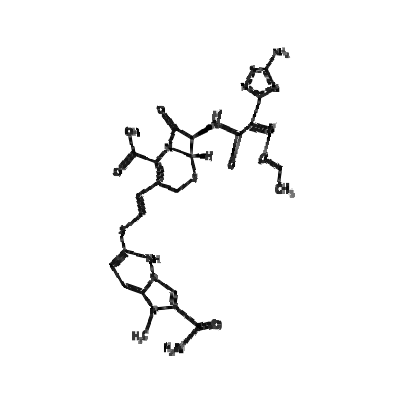 CCO/N=C(\C(=O)N[C@@H]1C(=O)N2C(C(=O)O)=C(/C=C/SC3=CC=C4N(C=C(C(N)=O)N4C)N3)CS[C@@H]12)c1nsc(N)n1